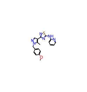 COc1ccc(Cn2ncc(-c3nsc(Nc4ccccn4)n3)c2C)cc1